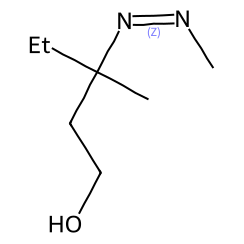 CCC(C)(CCO)/N=N\C